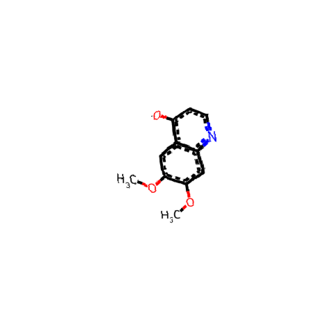 COc1cc2nccc([O])c2cc1OC